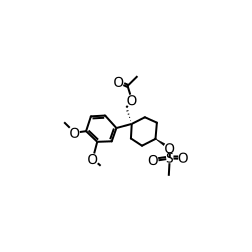 COc1ccc([C@]2(COC(C)=O)CC[C@H](OS(C)(=O)=O)CC2)cc1OC